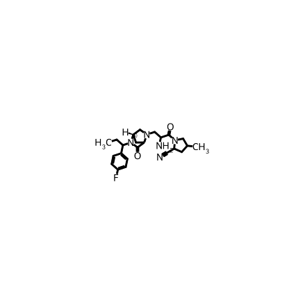 CCC(c1ccc(F)cc1)N1C(=O)C2C[C@H]1CN2CC(N)C(=O)N1CC(C)CC1C#N